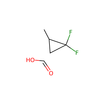 CC1CC1(F)F.O=CO